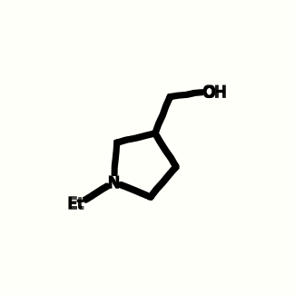 CCN1CCC(CO)C1